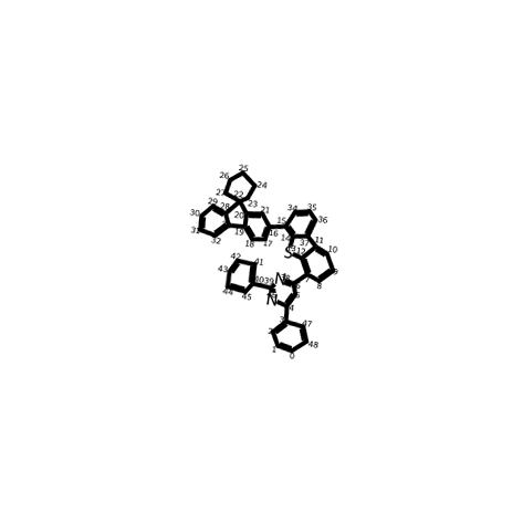 c1ccc(-c2cc(-c3cccc4c3sc3c(-c5ccc6c(c5)C5(CCCCC5)c5ccccc5-6)cccc34)nc(-c3ccccc3)n2)cc1